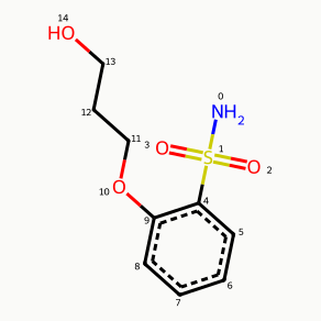 NS(=O)(=O)c1ccccc1OCCCO